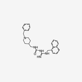 N=C(NCc1cccc2ccccc12)NC(=O)NCC1CCN(Cc2ccccc2)CC1